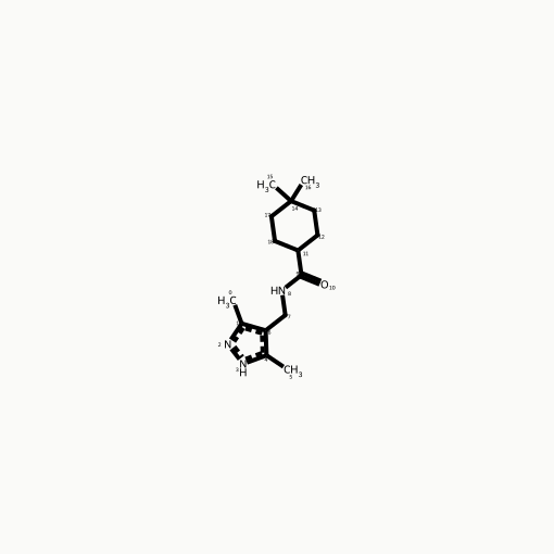 Cc1n[nH]c(C)c1CNC(=O)C1CCC(C)(C)CC1